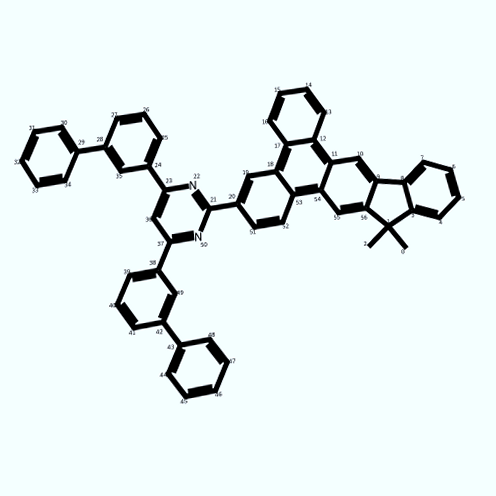 CC1(C)c2ccccc2-c2cc3c4ccccc4c4cc(-c5nc(-c6cccc(-c7ccccc7)c6)cc(-c6cccc(-c7ccccc7)c6)n5)ccc4c3cc21